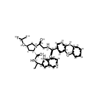 CC(NC(=O)[C@@H]1C[C@@H](OC(F)F)CN1C(=O)CNC(=O)c1cnc2c(c1)Oc1ccccc1S2)c1cc2cnccc2[nH]1